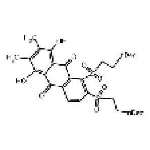 CCCCCCCCCCCCS(=O)(=O)c1ccc2c(c1S(=O)(=O)CCCCCCCCCCCC)C(=O)c1c(O)c(C)c(C)c(O)c1C2=O